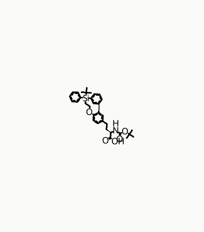 CC(C)(C)OC(=O)N[C@H](CCc1ccc(OCC[Si](c2ccccc2)(c2ccccc2)C(C)(C)C)c(I)c1)C(=O)O